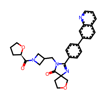 O=C([C@H]1CCCO1)N1CC(CN2C(=O)C3(CCOC3)N=C2c2ccc(-c3ccc4cccnc4c3)cc2)C1